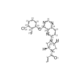 C=CC(=O)N1C[C@@H]2C[C@H]1CN2c1ccc2ncnc(Oc3cccc(Cl)c3F)c2n1